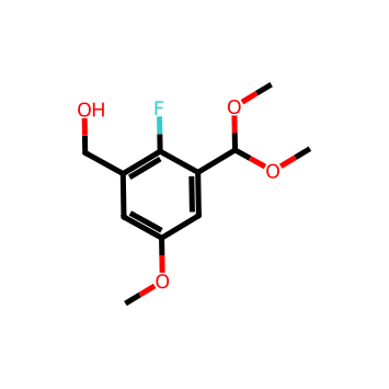 COc1cc(CO)c(F)c(C(OC)OC)c1